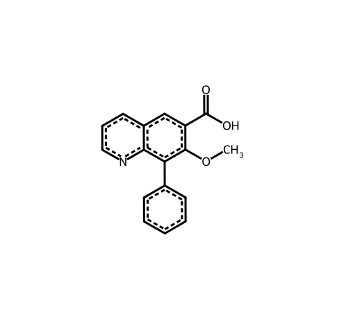 COc1c(C(=O)O)cc2cccnc2c1-c1ccccc1